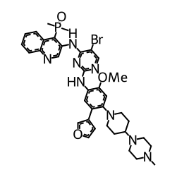 COc1cc(N2CCC(N3CCN(C)CC3)CC2)c(-c2ccoc2)cc1Nc1ncc(Br)c(Nc2cnc3ccccc3c2P(C)(C)=O)n1